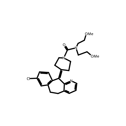 COCCN(CCOC)C(=O)N1CCC(=C2c3ccc(Cl)cc3CCc3cccnc32)CC1